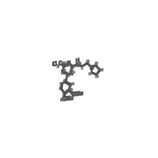 COc1ccc(-c2nc(NCCN3CCCC3)nc(C(Cl)(Cl)Cl)n2)cc1OC